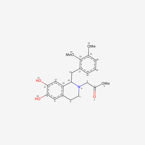 COC(=O)CN1CCc2cc(O)c(O)cc2C1Cc1cccc(OC)c1OC